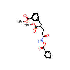 CC(C)(C)OC(=O)c1cccc(CC(CCC(=O)NOC(=O)c2ccccc2)C(=O)OC(C)(C)C)c1